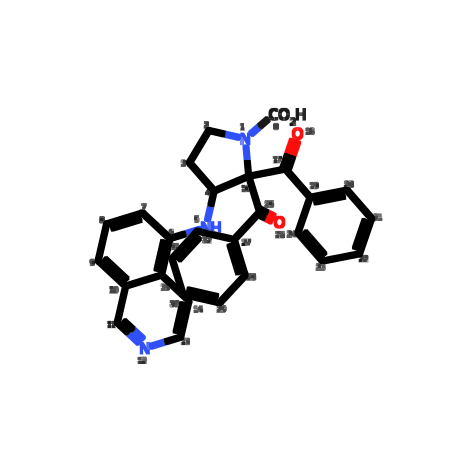 O=C(O)N1CCC(Nc2cccc3cnccc23)C1(C(=O)c1ccccc1)C(=O)c1ccccc1